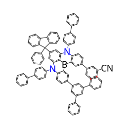 N#Cc1cccc(-c2ccc3c(c2)B2c4cc(-c5cc(-c6ccccc6)cc(-c6ccccc6)c5)ccc4N(c4ccc(-c5ccccc5)cc4)c4cc(C5(c6ccccc6)c6ccccc6-c6ccccc65)cc(c42)N3c2ccc(-c3ccccc3)cc2)c1